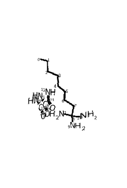 CCCCCCCCC(N)(N)N.N=C=O.N=C=O.N=C=O